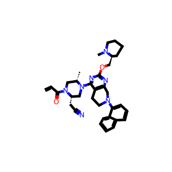 C=CC(=O)N1C[C@H](C)N(c2nc(OC[C@@H]3CCCCN3C)nc3c2CCN(c2cccc4ccccc24)C3)C[C@@H]1CC#N